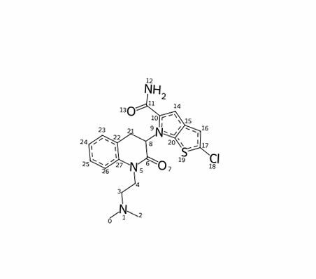 CN(C)CCN1C(=O)C(n2c(C(N)=O)cc3cc(Cl)sc32)Cc2ccccc21